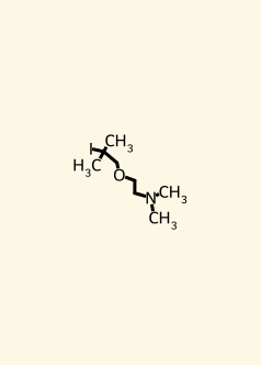 CN(C)CCOCC(C)(C)I